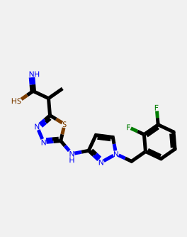 CC(C(=N)S)c1nnc(Nc2ccn(Cc3cccc(F)c3F)n2)s1